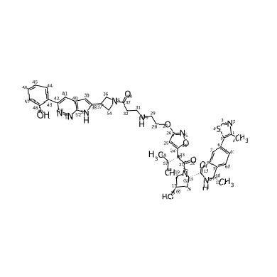 Cc1ncsc1-c1ccc([C@H](C)NC(=O)[C@@H]2C[C@@H](O)CN2C(=O)[C@@H](c2cc(OCCNCCC(=O)N3CC(c4cc5cc(-c6ccccc6O)nnc5[nH]4)C3)no2)C(C)C)cc1